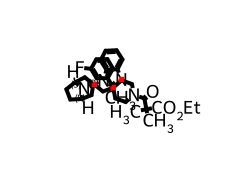 CCOC(=O)C(C)(C)C(=O)N1CCC(CCN2[C@@H]3CC[C@H]2C[C@@H](n2c(C)nc4ccccc42)C3)(c2cccc(F)c2)CC1